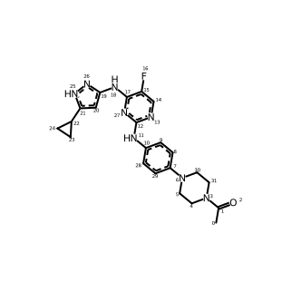 CC(=O)N1CCN(c2ccc(Nc3ncc(F)c(Nc4cc(C5CC5)[nH]n4)n3)cc2)CC1